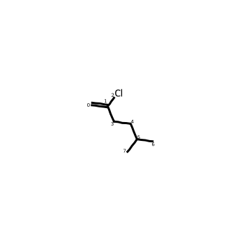 C=C(Cl)CCC(C)C